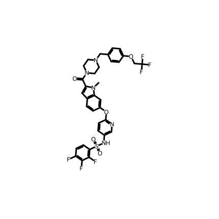 Cn1c(C(=O)N2CCN(Cc3ccc(OCC(F)(F)F)cc3)CC2)cc2ccc(Oc3ccc(NS(=O)(=O)c4ccc(F)c(F)c4F)cn3)cc21